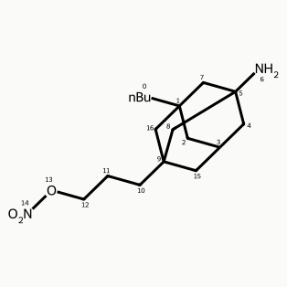 CCCCC12CC3CC(N)(C1)CC(CCCO[N+](=O)[O-])(C3)C2